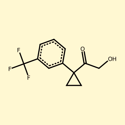 O=C(CO)C1(c2cccc(C(F)(F)F)c2)CC1